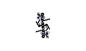 [C-]#[N+]/C(C#N)=C1\C(=C\c2cc(CCCCCC)c(-c3cc4c(-c5ccc(CC(CC)CCCC)s5)c5sc(-c6sc(/C=C7\C(=O)c8ccccc8\C7=C(\C#N)[N+]#[C-])cc6CCCCCC)cc5c(-c5ccc(CC(CC)CCCC)s5)c4s3)s2)C(=O)c2ccccc21